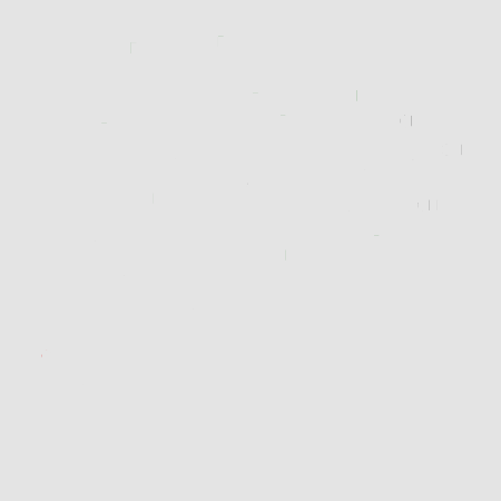 CC(C)(C)c1c(F)c(F)c(B(c2ccc3cc4c5c(cccc5c3c2)Oc2ccccc2-4)c2c(F)c(F)c(F)c(F)c2F)c(F)c1F